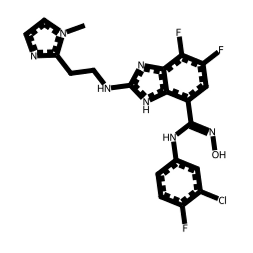 Cn1ccnc1CCNc1nc2c(F)c(F)cc(/C(=N/O)Nc3ccc(F)c(Cl)c3)c2[nH]1